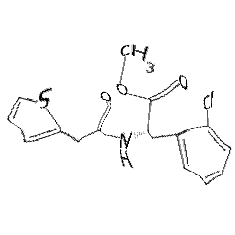 COC(=O)[C@@H](NC(=O)Cc1cccs1)c1ccccc1Cl